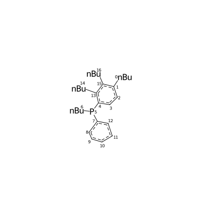 CCCCc1ccc(P(CCCC)c2ccccc2)c(CCCC)c1CCCC